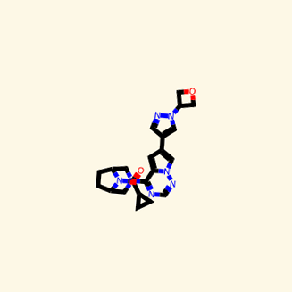 O=C(C1CC1)N1C2CCC1CN(c1ncnn3cc(-c4cnn(C5COC5)c4)cc13)C2